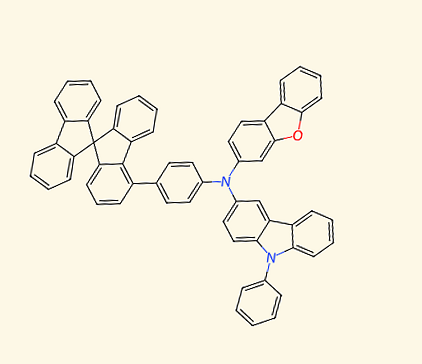 c1ccc(-n2c3ccccc3c3cc(N(c4ccc(-c5cccc6c5-c5ccccc5C65c6ccccc6-c6ccccc65)cc4)c4ccc5c(c4)oc4ccccc45)ccc32)cc1